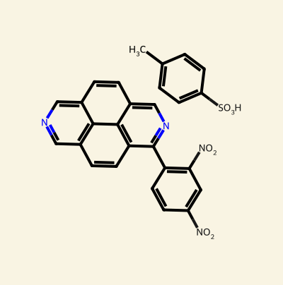 Cc1ccc(S(=O)(=O)O)cc1.O=[N+]([O-])c1ccc(-c2ncc3ccc4cncc5ccc2c3c45)c([N+](=O)[O-])c1